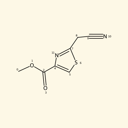 COC(=O)c1csc(CC#N)n1